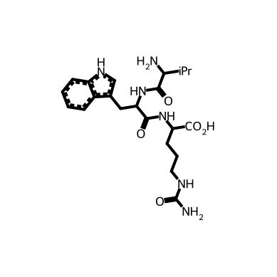 CC(C)C(N)C(=O)NC(Cc1c[nH]c2ccccc12)C(=O)NC(CCCNC(N)=O)C(=O)O